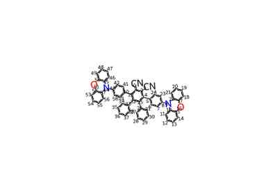 N#Cc1c(C#N)c(-c2ccc(N3c4ccccc4Oc4ccccc43)cc2)c(-c2ccccc2)c(-c2ccccc2)c1-c1ccc(N2c3ccccc3Oc3ccccc32)cc1